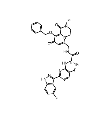 CC(C)[C@H](Nc1nc(-c2n[nH]c3ccc(F)cc23)ncc1F)C(=O)NCc1cc(=O)c(OCc2ccccc2)c2n1CCN(C(C)C)C2=O